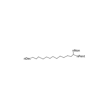 [CH2]CCCCC(CCCCCCCCC)CCCCCCCCCCCCCCCCCCCCCC